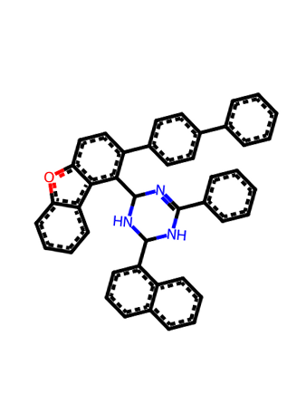 c1ccc(C2=NC(c3c(-c4ccc(-c5ccccc5)cc4)ccc4oc5ccccc5c34)NC(c3cccc4ccccc34)N2)cc1